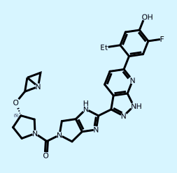 CCc1cc(O)c(F)cc1-c1ccc2c(-c3nc4c([nH]3)CN(C(=O)N3CC[C@H](OC5C6CN65)C3)C4)n[nH]c2n1